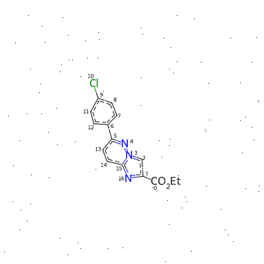 CCOC(=O)c1cn2nc(-c3ccc(Cl)cc3)ccc2n1